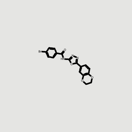 O=C(Nc1nnc(-c2ccc3c(c2)OCCO3)o1)c1ccc(Br)cc1